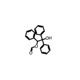 O=COC(c1ccccc1)C(O)(c1ccccc1)c1ccccc1